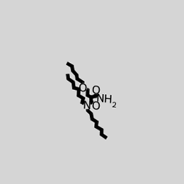 CCCCCCCCN(CCCCCCCC)C(=O)C(CCOCCCCCC)C(N)=O